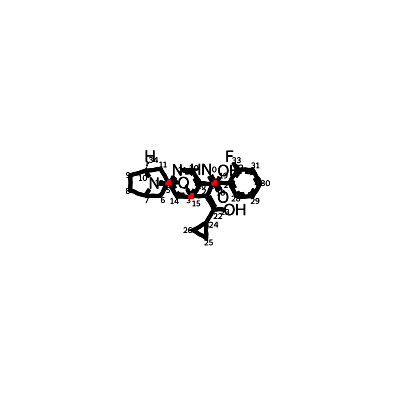 N=C(/C(COC1CC2CC[C@@H](C1)N2c1ccc(C(=O)O)cn1)=C(\O)C1CC1)c1ccccc1F